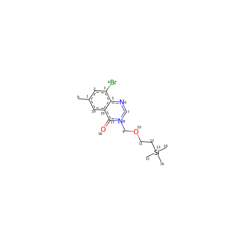 Cc1cc(Br)c2ncn(COCC[Si](C)(C)C)c(=O)c2c1